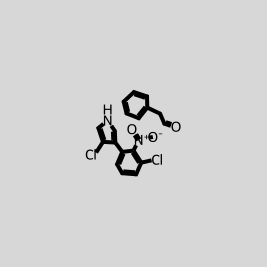 O=CCc1ccccc1.O=[N+]([O-])c1c(Cl)cccc1-c1c[nH]cc1Cl